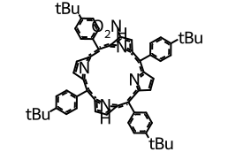 CC(C)(C)c1ccc(-c2c3nc(c(-c4ccc(C(C)(C)C)cc4)c4cc([N+](=O)[O-])c([nH]4)c(-c4ccc(C(C)(C)C)cc4)c4nc(c(-c5ccc(C(C)(C)C)cc5)c5ccc2[nH]5)C=C4)C=C3)cc1